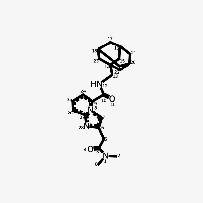 CN(C)C(=O)Cc1cn2c(C(=O)NCC34CC5CC(CC(C5)C3)C4)cccc2n1